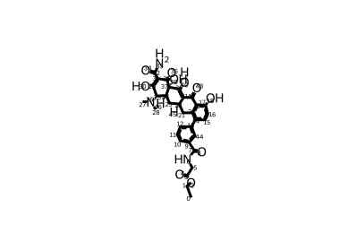 CCOC(=O)CNC(=O)c1cccc(-c2ccc(O)c3c2C[C@H]2C[C@H]4[C@H](N(C)C)C(O)=C(C(N)=O)C(=O)[C@@]4(O)C(O)=C2C3=O)c1